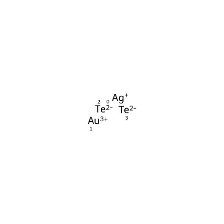 [Ag+].[Au+3].[Te-2].[Te-2]